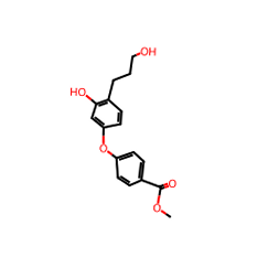 COC(=O)c1ccc(Oc2ccc(CCCO)c(O)c2)cc1